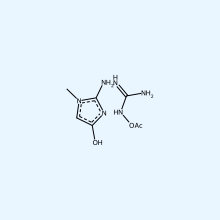 CC(=O)ONC(=N)N.Cn1cc(O)nc1N